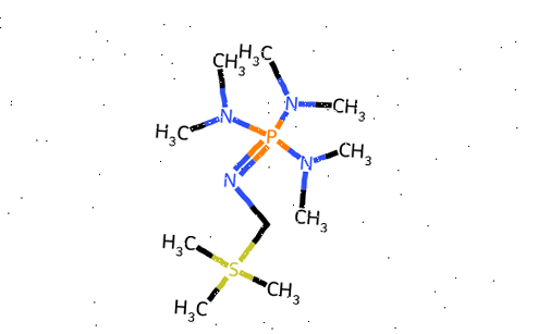 CN(C)P(=NCS(C)(C)C)(N(C)C)N(C)C